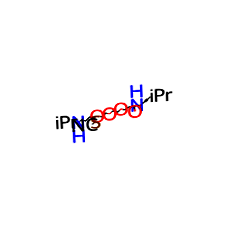 CC(C)C#CCNC(=O)CCOCCOCCOC(CCCNC(C)C)SC#N